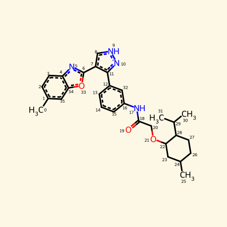 Cc1ccc2nc(-c3c[nH]nc3-c3cccc(NC(=O)COC4CC(C)CCC4C(C)C)c3)oc2c1